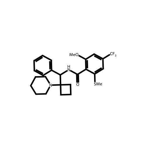 COc1cc(C(F)(F)F)cc(SC)c1C(=O)NC(c1ccccc1)C1(N2CCCCC2)CCC1